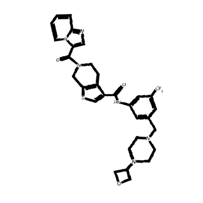 O=C(Nc1cc(CN2CCN(C3COC3)CC2)cc(C(F)(F)F)c1)c1csc2c1CCN(C(=O)c1cnc3ccccn13)C2